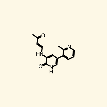 CC(=O)C=CNc1cc(-c2cccnc2C)c[nH]c1=O